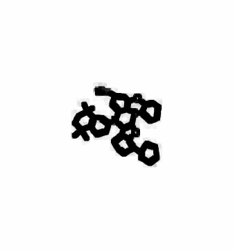 CC(C)(C)c1cc2c3c(c1)N(c1ccc4c(c1)C(C)(C)CCC4(C)C)c1c(oc4c(-c5ccccc5)cccc14)B3c1ccccc1O2